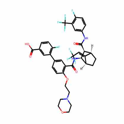 O=C(O)c1ccc(F)c(-c2ccc(OCCN3CCOCC3)c(C(=O)N[C@H]3[C@@H](C(=O)Nc4ccc(F)c(C(F)(F)F)c4)[C@H]4CC[C@@H]3/C4=C\C(F)(F)F)c2)c1